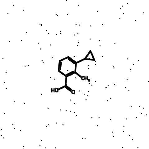 Cc1c(C(=O)O)cccc1C1CC1